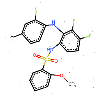 Cc1ccc(Nc2c(NS(=O)(=O)c3ccccc3OC(F)(F)F)ccc(F)c2F)c(F)c1